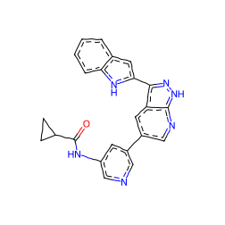 O=C(Nc1cncc(-c2cnc3[nH]nc(-c4cc5ccccc5[nH]4)c3c2)c1)C1CC1